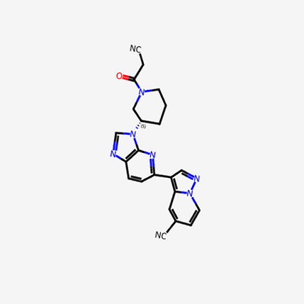 N#CCC(=O)N1CCC[C@H](n2cnc3ccc(-c4cnn5ccc(C#N)cc45)nc32)C1